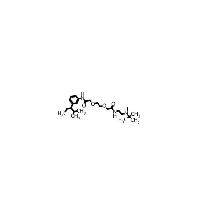 CCC(c1cccc(NC(=O)COCCOCC(=O)NCCNC(C)(C)C)c1)C(C)C